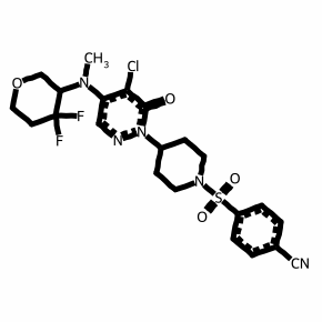 CN(c1cnn(C2CCN(S(=O)(=O)c3ccc(C#N)cc3)CC2)c(=O)c1Cl)C1COCCC1(F)F